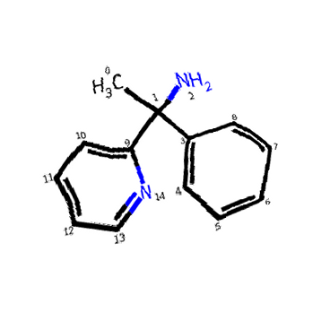 CC(N)(c1ccccc1)c1ccccn1